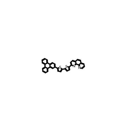 c1cnc2c(c1)ccc1ccc(-c3ccc(-c4ccc(-c5ccc6c7ccccc7c7ccccc7c6c5)s4)s3)nc12